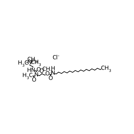 CCCCCCCCCCCCCCCCCCNC(=O)OCC(CN(C(C)=O)C(=O)NCC[N+](C)(C)C)OC.[Cl-]